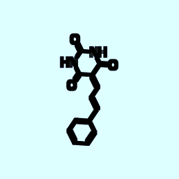 O=C1NC(=O)C(=CC=Cc2ccccc2)C(=O)N1